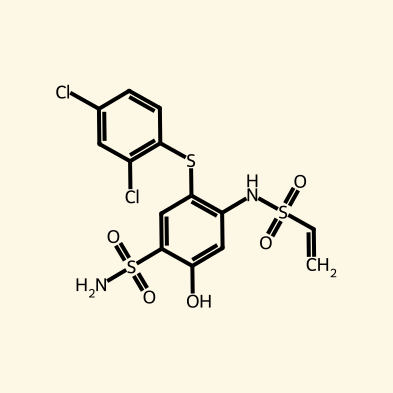 C=CS(=O)(=O)Nc1cc(O)c(S(N)(=O)=O)cc1Sc1ccc(Cl)cc1Cl